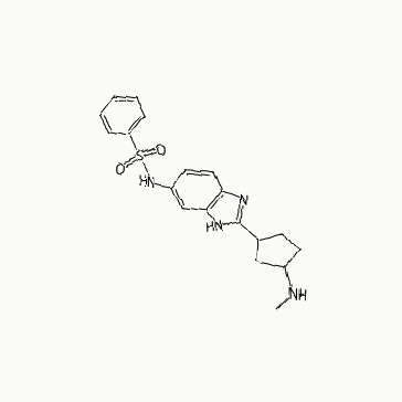 CNC1CCC(c2nc3ccc(NS(=O)(=O)c4ccccc4)cc3[nH]2)C1